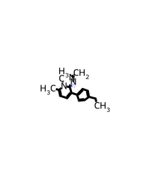 C=N/N=c1/c(-c2ccc(CC)cc2)ccc(C)n1C